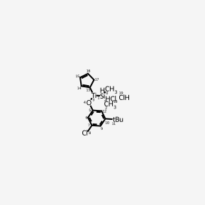 C[SiH](C)[Ti]([O]c1cc(Cl)cc(C(C)(C)C)c1)[C]1=CC=CC1.Cl.Cl